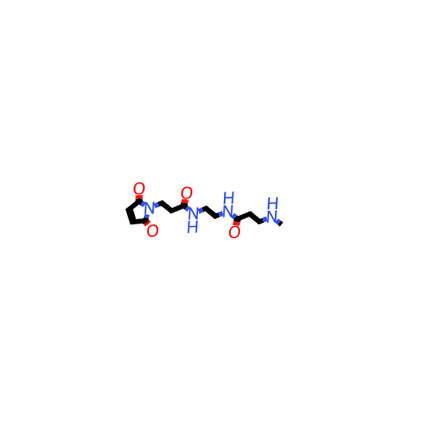 CNCCC(=O)NCCNC(=O)CCN1C(=O)C=CC1=O